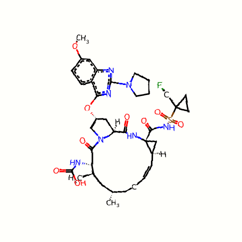 COc1ccc2c(O[C@@H]3C[C@H]4C(=O)N[C@]5(C(=O)NS(=O)(=O)C6(CF)CC6)C[C@H]5/C=C\CC[C@H](C)C[C@@H](C)[C@H](NC(=O)O)C(=O)N4C3)nc(N3CCCC3)nc2c1